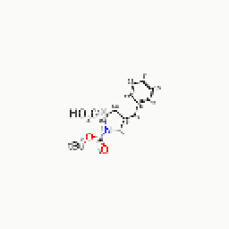 CC(C)(C)OC(=O)N1CC(Cc2ccccc2)C[C@H]1C(=O)O